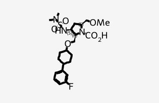 COC[C@@H]1C[C@H](NS(=O)(=O)N(C)C)[C@H](COC2CCC(c3cccc(F)c3)CC2)N1C(=O)O